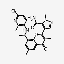 Cc1cc(C(C)Nc2ccc(Cl)nc2C)c2oc(-c3cnn(C)c3C(N)=O)c(C)c(=O)c2c1